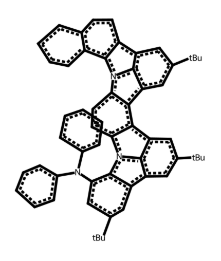 CC(C)(C)c1cc(N(c2ccccc2)c2ccccc2)c2c(c1)c1cc(C(C)(C)C)cc3c4c5c6cc(C(C)(C)C)cc7c8ccc9ccccc9c8n(c5ccc4n2c13)c76